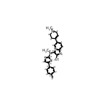 CCc1nc2ccc(C3=CCN(C)CC3)cn2c1N(C)c1nc(-c2ccc(F)cc2)cs1